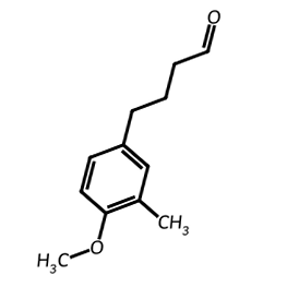 COc1ccc(CCCC=O)cc1C